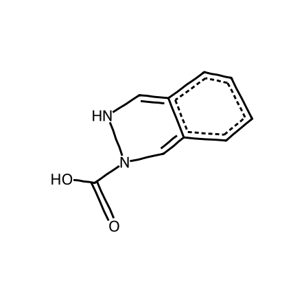 O=C(O)N1C=c2ccccc2=CN1